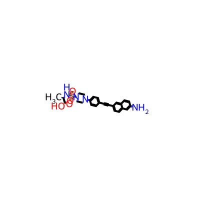 C[C@@H](NS(=O)(=O)N1CCN(c2ccc(C#Cc3ccc4cc(N)ccc4c3)cc2)CC1)C(=O)O